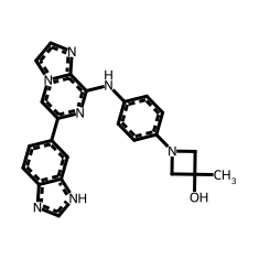 CC1(O)CN(c2ccc(Nc3nc(-c4ccc5nc[nH]c5c4)cn4ccnc34)cc2)C1